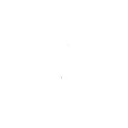 Nc1c(-c2ccccc2)cccc1-c1ccc(N(c2ccccc2)c2ccccc2)cc1